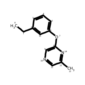 CCc1cccc(Oc2cncc(C)n2)c1